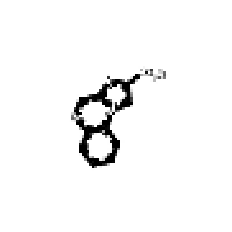 CCOC(=O)c1cn2c(cnc3ccccc32)n1